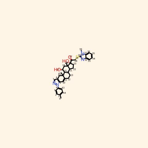 Cc1ccc(-n2ncc3c2C=C2CCC4C([C@@H](O)CC5(C)C4CC[C@]5(O)C(=O)CSc4nc5ccccc5n4C)C2(C)C3)cc1